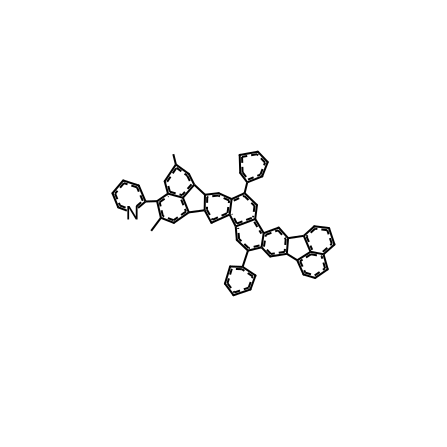 Cc1cc2c3c(cc(C)c(-c4ccccn4)c3c1)-c1cc3c(cc1-2)c(-c1ccccc1)cc1c2cc4c(cc2c(-c2ccccc2)cc31)-c1cccc2cccc-4c12